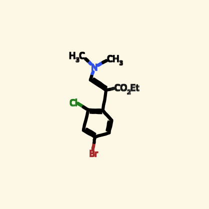 CCOC(=O)/C(=C\N(C)C)c1ccc(Br)cc1Cl